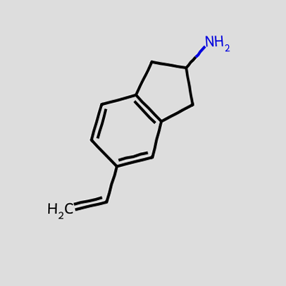 C=Cc1ccc2c(c1)CC(N)C2